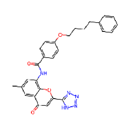 Cc1cc(NC(=O)c2ccc(OCCCCc3ccccc3)cc2)c2oc(-c3nnn[nH]3)cc(=O)c2c1